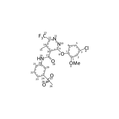 COc1cc(Cl)ccc1Oc1nnc(C(F)(F)F)c(C)c1C(=O)Nc1cccc(S(C)(=O)=O)c1